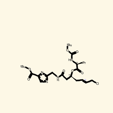 CC(C)[C@H](NC(=O)OC(C)(C)C)C(=O)O[C@@H](C/C=C/CCl)CC(=O)NCc1nc(C(=O)OC(C)(C)C)cs1